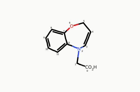 O=C(O)CN1C=CCOc2ccccc21